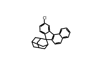 Clc1ccc2c(c1)-c1c(ccc3ccccc13)C21C2CC3CC(C2)CC1C3